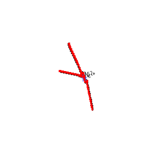 CCCCCCCCCCCCCCCCCC/C=C/C(/C=N/c1ccc(CCCCCCCCCCCCCCCCCCCCCCCCCCC)cc1)=N\c1ccc(CCCCCCCCCCCCCCCCCCCCCCCCCCC)cc1.[Ni+2]